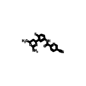 CC1CC(c2cc(NC(=O)c3ccc(C#N)cn3)ccc2F)N=C(N)O1